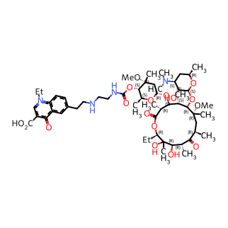 CC[C@H]1OC(=O)[C@H](C)[C@@H](O[C@H]2C[C@@](C)(OC)[C@@H](OC(=O)NCCNCCc3ccc4c(c3)c(=O)c(C(=O)O)cn4CC)[C@H](C)O2)[C@H](C)[C@@H](O[C@@H]2O[C@H](C)C[C@H](N(C)C)[C@H]2O)[C@](C)(OC)C[C@@H](C)C(=O)[C@H](C)[C@@H](O)C1(C)O